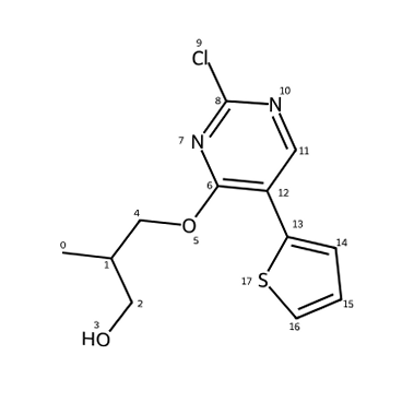 CC(CO)COc1nc(Cl)ncc1-c1cccs1